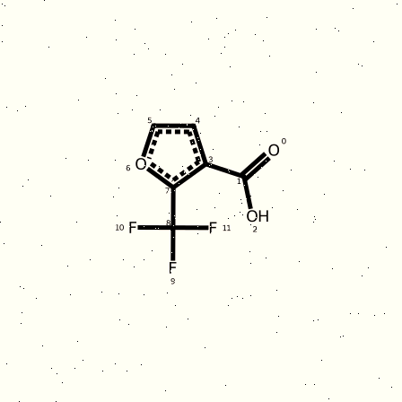 O=C(O)c1ccoc1C(F)(F)F